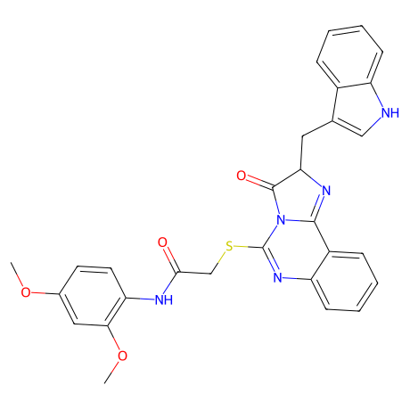 COc1ccc(NC(=O)CSC2=Nc3ccccc3C3=NC(Cc4c[nH]c5ccccc45)C(=O)N23)c(OC)c1